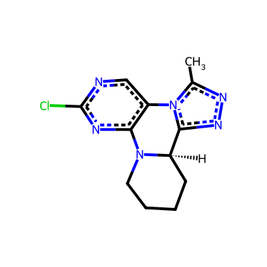 Cc1nnc2n1-c1cnc(Cl)nc1N1CCCC[C@H]21